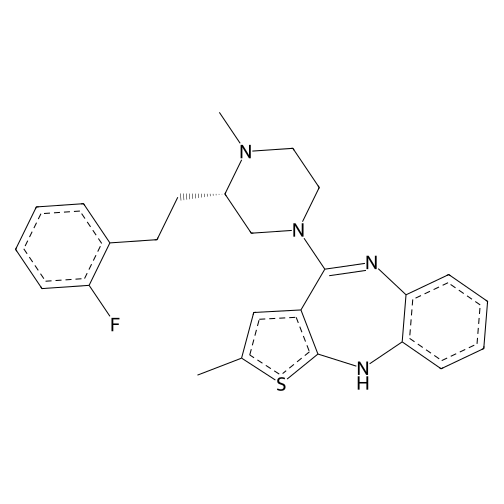 Cc1cc2c(s1)Nc1ccccc1N=C2N1CCN(C)[C@@H](CCc2ccccc2F)C1